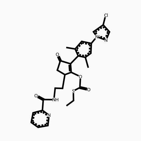 CCSC(=O)OC1=C(c2c(C)cc(-n3cc(Cl)cn3)cc2C)C(=O)CC1CCNC(=O)c1ccccn1